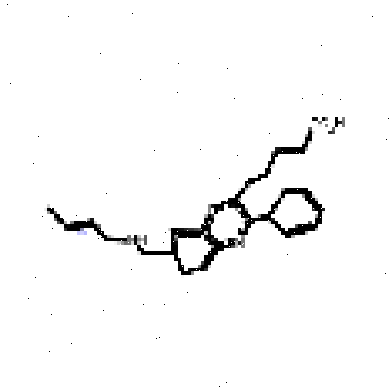 C/C=C/CNCC1C=c2nc(CCCCC(=O)O)c(C3C=CC=CC3)nc2=CC1